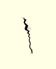 [CH2]CC/C=C/CCCCCCCCC[CH2]